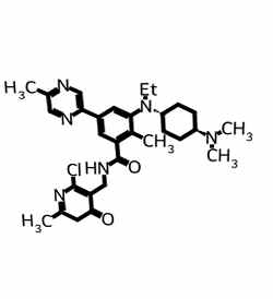 CCN(c1cc(-c2cnc(C)cn2)cc(C(=O)NCC2=C(Cl)N=C(C)CC2=O)c1C)[C@H]1CC[C@H](N(C)C)CC1